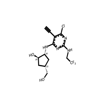 C#Cc1c(Cl)nc(NCC(F)(F)F)nc1N[C@@H]1C[C@H](CO)C[C@H]1O